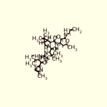 C=CCNC(=O)C(=O)C(CCC)NC(=O)[C@@H]1[C@@H]2[C@H](CN1C(=O)[C@@H](NC(=O)N[C@H](C(=O)c1nc(C)cs1)C(C)C)C(C)(C)C)C2(C)C